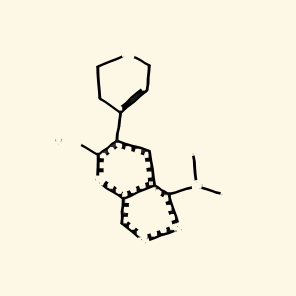 COc1nc2cnnc([S+](C)[O-])c2cc1C1=CCOCC1